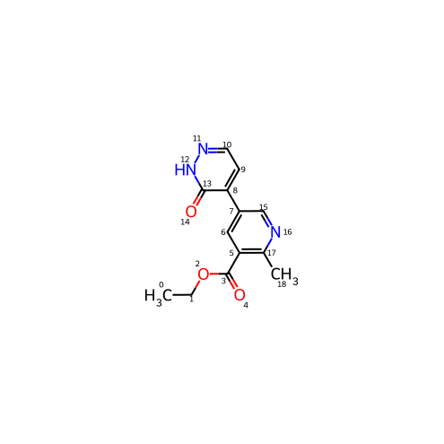 CCOC(=O)c1cc(-c2ccn[nH]c2=O)cnc1C